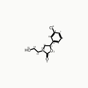 O=C1OC(c2cccc(Cl)c2)CN1CCO